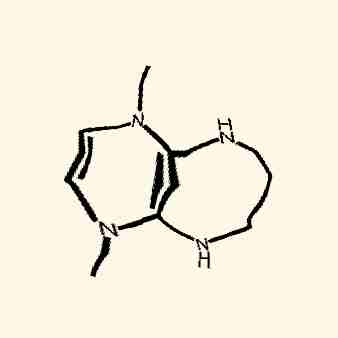 CN1C=CN(C)C2=C1NCCN2